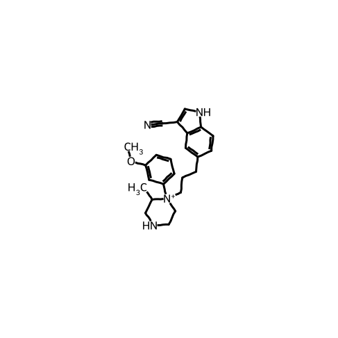 COc1cccc([N+]2(CCCc3ccc4[nH]cc(C#N)c4c3)CCNCC2C)c1